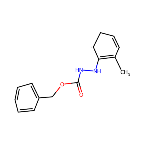 CC1=C(NNC(=O)OCc2ccccc2)[CH]CC=C1